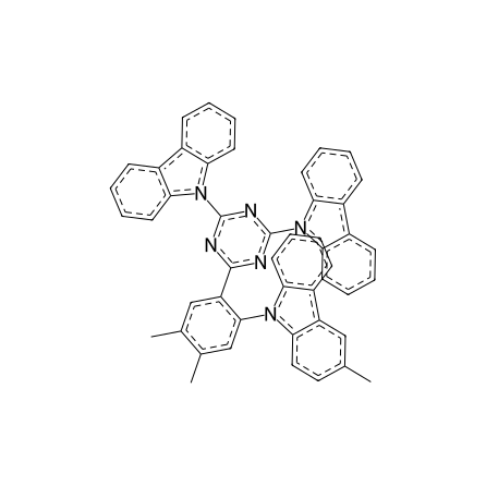 Cc1ccc2c(c1)c1ccccc1n2-c1cc(C)c(C)cc1-c1nc(-n2c3ccccc3c3ccccc32)nc(-n2c3ccccc3c3ccccc32)n1